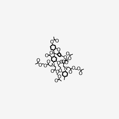 CC(=O)OCOC(=O)CN(CC(=O)OCOC(C)=O)c1ccc(C)cc1OCCOc1cc2c(cc1N(CC(=O)OCOC(C)=O)CC(=O)OCOC(C)=O)C(=O)OC21c2ccc(OC(C)=O)cc2Oc2cc(OC(C)=O)ccc21